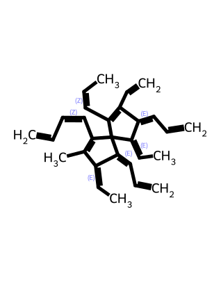 C=C/C=C\C1=C(C)C(=C/C)/C(=C\C=C)C12C(/C=C\C)=C(C=C)C(=C/C=C)/C2=C\C